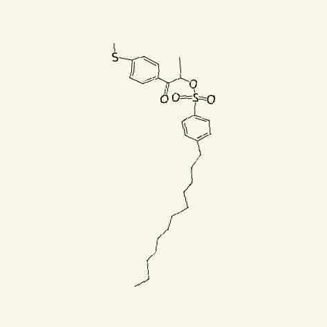 CCCCCCCCCCCCc1ccc(S(=O)(=O)OC(C)C(=O)c2ccc(SC)cc2)cc1